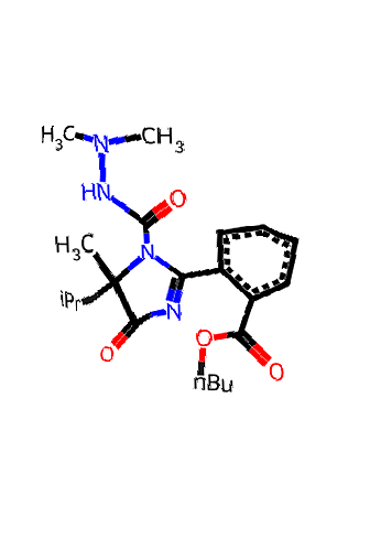 CCCCOC(=O)c1ccccc1C1=NC(=O)C(C)(C(C)C)N1C(=O)NN(C)C